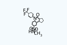 CNS(=O)(=O)c1ccc2c(c1)c1c(c(=O)n2C2=CCC(C(F)(F)F)C=C2)CCC1